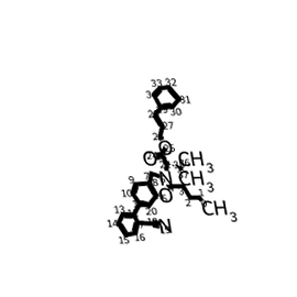 CCCCC(=O)N(Cc1ccc(-c2ccccc2C#N)cc1)[C@H](C(=O)OC/C=C/c1ccccc1)C(C)C